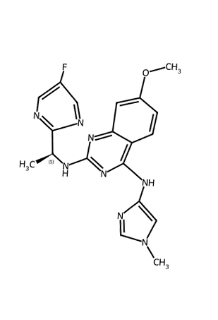 COc1ccc2c(Nc3cn(C)cn3)nc(N[C@@H](C)c3ncc(F)cn3)nc2c1